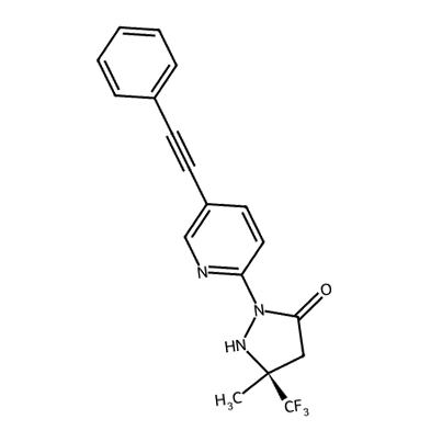 C[C@@]1(C(F)(F)F)CC(=O)N(c2ccc(C#Cc3ccccc3)cn2)N1